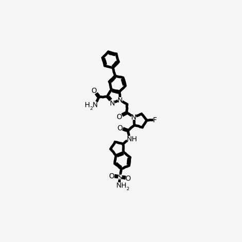 NC(=O)c1nn(CC(=O)N2CC(F)CC2C(=O)NC2CCc3cc(S(N)(=O)=O)ccc32)c2ccc(-c3ccccc3)cc12